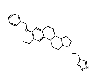 CCc1cc2c(cc1OCc1ccccc1)CCC1C2CC[C@@]2(C)C1CC[C@@H]2CCn1cnnc1